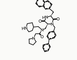 O=C1N[C@@H](Cc2ccc3ccccc3c2)C(=O)N(Cc2ccc(-c3ccccc3)cc2)[C@H]1CN(CC1CCNCC1)C(=O)CN1CCCC1